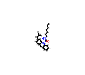 CCCCCCCNC(=O)Nc1ccccc1Cc1ccc(CC(C)C)cc1